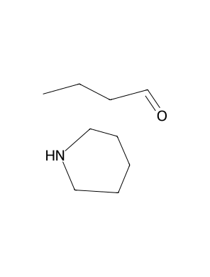 C1CCNCC1.CCCC=O